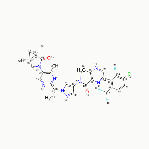 Cc1nc([C@@H](C)n2cc(NC(=O)c3nc(-c4c(C(F)F)ccc(Cl)c4F)cnc3C)cn2)ncc1N1C[C@H]2C[C@H]2C1=O